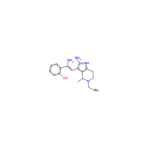 CC1c2c([nH]c(N)c2/C=C(\N)c2ccccc2O)CCN1CC(C)(C)C